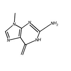 C=C1NC(N)=Nc2c1ncn2C